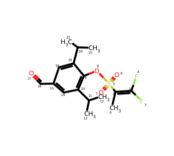 CC(=C(F)F)S(=O)(=O)Oc1c(C(C)C)cc(C=O)cc1C(C)C